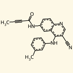 CC#CC(=O)Nc1ccc2ncc(C#N)c(Nc3cccc(C)c3)c2c1